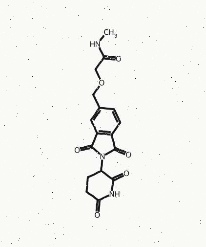 CNC(=O)COCc1ccc2c(c1)C(=O)N(C1CCC(=O)NC1=O)C2=O